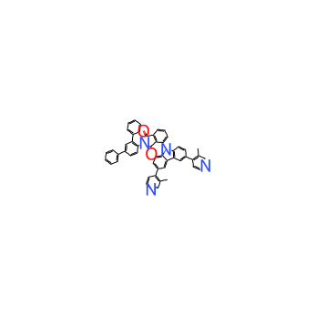 Cc1cnccc1-c1ccc2c(c1)c1cc(-c3ccncc3C)ccc1n2-c1cccc2c1C(=O)N(c1ccc(-c3ccccc3)cc1-c1ccccc1)C2=O